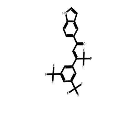 O=C(C=C(c1cc(C(F)(F)F)cc(C(F)(F)F)c1)C(F)(F)F)c1ccc2[nH]ccc2c1